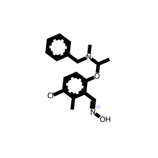 Cc1c(Cl)ccc(OC(C)N(C)Cc2ccccc2)c1/C=N/O